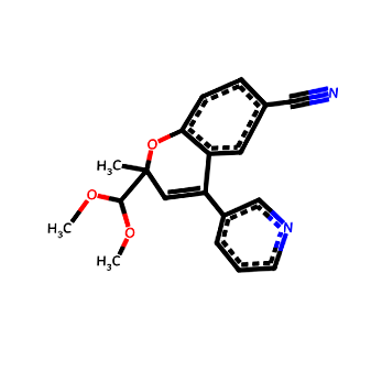 COC(OC)C1(C)C=C(c2cccnc2)c2cc(C#N)ccc2O1